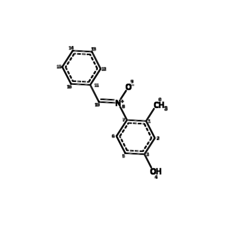 Cc1cc(O)ccc1[N+]([O-])=Cc1ccccc1